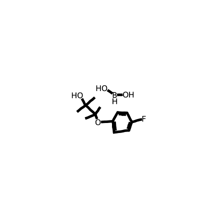 CC(C)(O)C(C)(C)Oc1ccc(F)cc1.OBO